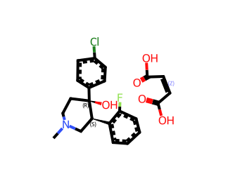 CN1CC[C@](O)(c2ccc(Cl)cc2)[C@@H](c2ccccc2F)C1.O=C(O)/C=C\C(=O)O